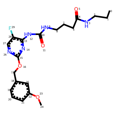 CCCNC(=O)CCCNC(=O)Nc1nc(OCc2cccc(OC)c2)ncc1F